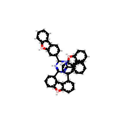 c1ccc(C2=NC(c3cccc4oc5cccc(-c6ccc7oc8ccccc8c7c6)c5c34)=NC(c3ccc4c(c3)oc3ccccc34)N2)cc1